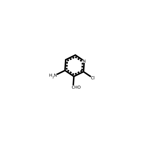 Nc1ccnc(Cl)c1C=O